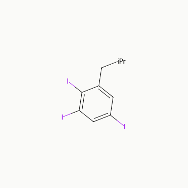 CC(C)Cc1cc(I)cc(I)c1I